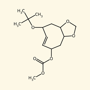 COC(=O)OC1/C=C/C(OC(C)(C)C)CC2OCOC2C1